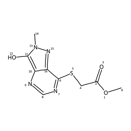 COC(=O)CSc1ncnc2c(O)n(C)nc12